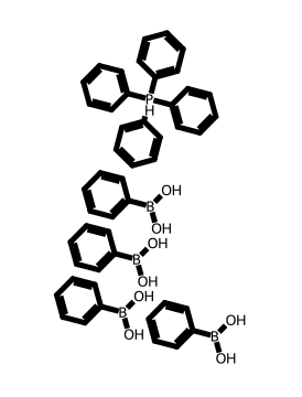 OB(O)c1ccccc1.OB(O)c1ccccc1.OB(O)c1ccccc1.OB(O)c1ccccc1.c1ccc([PH](c2ccccc2)(c2ccccc2)c2ccccc2)cc1